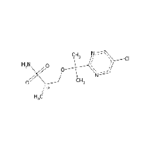 C[C@@H](COC(C)(C)c1ncc(Cl)cn1)S(N)(=O)=O